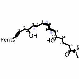 CCCCCC#CCC(O)/C=C/C=C\C=C\C(O)CCCC(=O)N(C)C